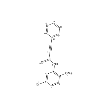 COc1ccc(Br)cc1NC(=O)C#Cc1cccnc1